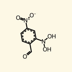 O=Cc1ccc([N+](=O)[O-])cc1N(O)O